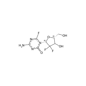 Nc1nc(F)n([C@@H]2O[C@H](CO)C(O)C2(F)F)c(=O)n1